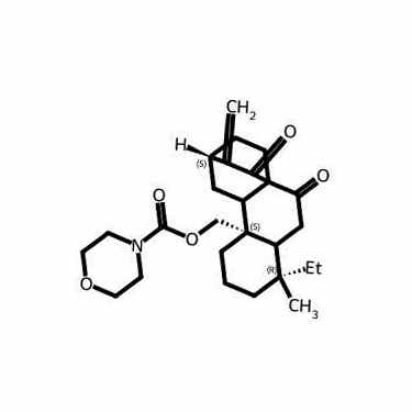 C=C1C(=O)C23CC[C@H]1CC2[C@]1(COC(=O)N2CCOCC2)CCC[C@@](C)(CC)C1CC3=O